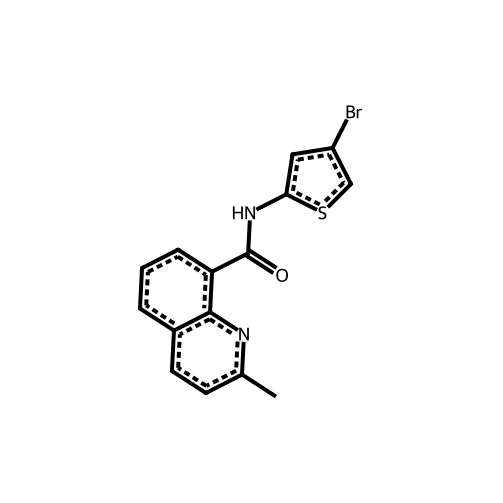 Cc1ccc2cccc(C(=O)Nc3cc(Br)cs3)c2n1